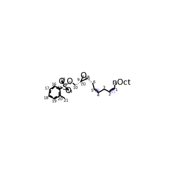 CCCCCCCC/C=C\C/C=C\C[C@H]1O[C@H]1COS(=O)(=O)c1ccccc1C